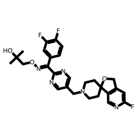 CC(C)(O)CO/N=C(\c1ccc(F)c(F)c1)c1ncc(CN2CCC3(CC2)OCc2cc(F)ncc23)cn1